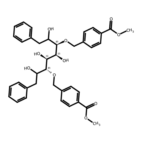 COC(=O)c1ccc(CO[C@H](C(O)Cc2ccccc2)[C@@H](O)[C@H](O)[C@H](OCc2ccc(C(=O)OC)cc2)C(O)Cc2ccccc2)cc1